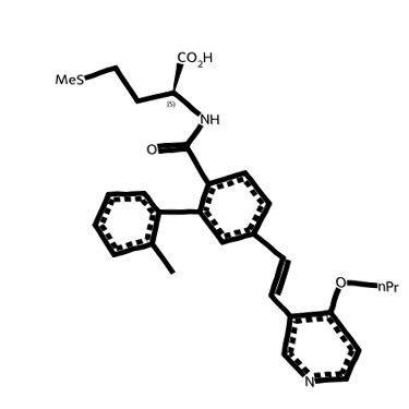 CCCOc1ccncc1C=Cc1ccc(C(=O)N[C@@H](CCSC)C(=O)O)c(-c2ccccc2C)c1